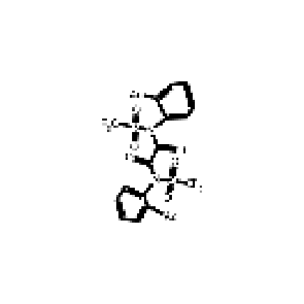 CC(=O)c1ccccc1N(C(=O)C(=O)N(c1ccccc1C(C)=O)S(=O)(=O)C(F)(F)F)S(=O)(=O)C(F)(F)F